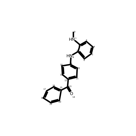 CNc1ccccc1Nc1ccc(C(=O)c2ccccc2)cc1